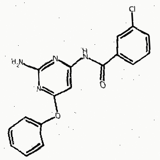 Nc1nc(NC(=O)c2cccc(Cl)c2)cc(Oc2ccccc2)n1